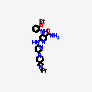 CCOc1ccccc1Nc1cc(Nc2ccc(N3CCC4(CC3)CN(C(C)C)C4)cn2)ncc1C(N)=O